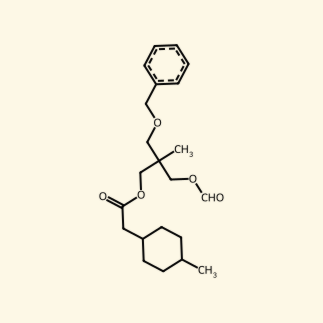 CC1CCC(CC(=O)OCC(C)(COC=O)COCc2ccccc2)CC1